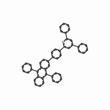 c1ccc(-c2cc(-c3ccccc3)nc(-c3ccc(-c4ccc5c(-c6ccccc6)c6ccccc6c(-c6ccccc6)c5c4)cc3)c2)cc1